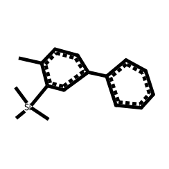 Cc1ccc(-c2ccccc2)cc1[Si](C)(C)C